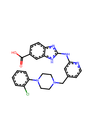 O=C(O)c1ccc2nc(Nc3cc(CN4CCN(c5ccccc5Cl)CC4)ccn3)[nH]c2c1